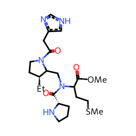 CC[C@H]1CCN(C(=O)Cc2c[nH]cn2)C1CN(C(=O)[C@@H]1CCCN1)C(CCSC)C(=O)OC